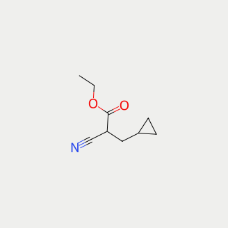 CCOC(=O)C(C#N)CC1CC1